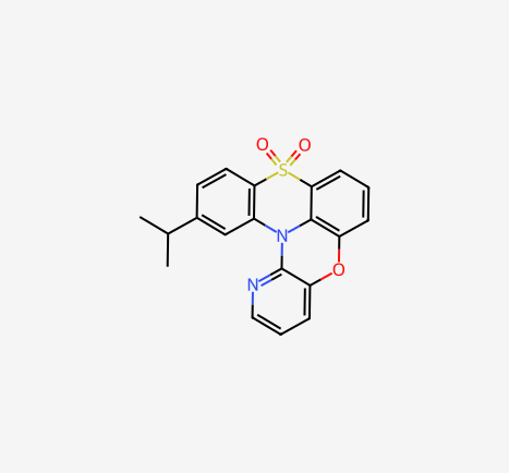 CC(C)c1ccc2c(c1)N1c3ncccc3Oc3cccc(c31)S2(=O)=O